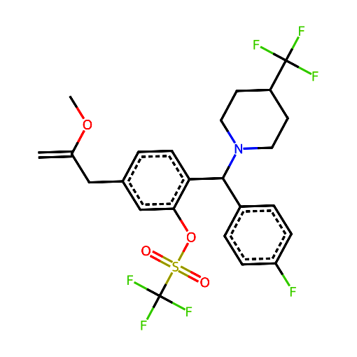 C=C(Cc1ccc(C(c2ccc(F)cc2)N2CCC(C(F)(F)F)CC2)c(OS(=O)(=O)C(F)(F)F)c1)OC